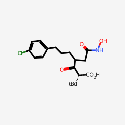 CC(C)(C)[C@@H](C(=O)O)C(=O)C(CCCc1ccc(Cl)cc1)CC(=O)NO